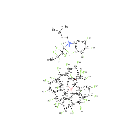 CCCCCCC(F)(F)C(F)(F)C(F)(F)[NH+](CCC(CC)CCCC)c1cc(F)c(F)c(F)c1F.Fc1cc2c([B-](c3c(F)c(F)c(F)c4c(F)c(F)c(F)cc34)(c3c(F)c(F)c(F)c4c(F)c(F)c(F)cc34)c3c(F)c(F)c(F)c4c(F)c(F)c(F)cc34)c(F)c(F)c(F)c2c(F)c1F